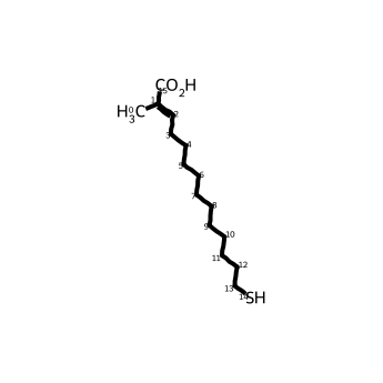 CC(=CCCCCCCCCCCCS)C(=O)O